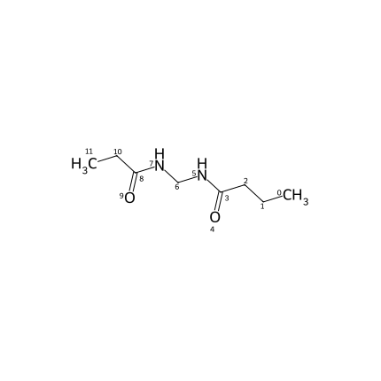 CCCC(=O)NCNC(=O)CC